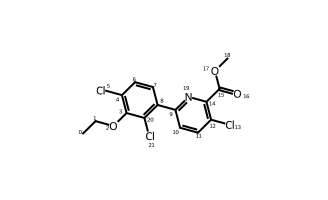 CCOc1c(Cl)ccc(-c2ccc(Cl)c(C(=O)OC)n2)c1Cl